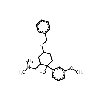 COc1cccc(C2(O)CCC(OCc3ccccc3)CC2CN(C)C)c1